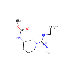 CCOC(=O)CN/C(=N/C#N)N1CCCC(NC(=O)OC(C)(C)C)C1